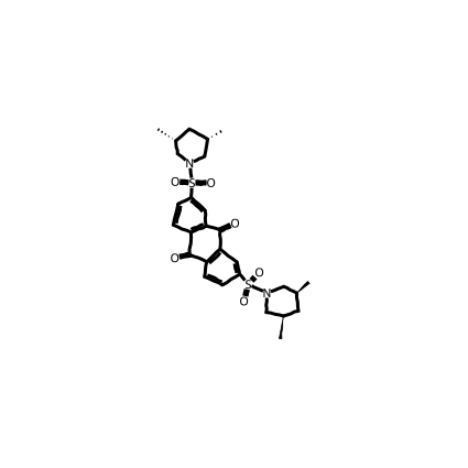 C[C@@H]1C[C@H](C)CN(S(=O)(=O)c2ccc3c(c2)C(=O)c2cc(S(=O)(=O)N4C[C@H](C)C[C@H](C)C4)ccc2C3=O)C1